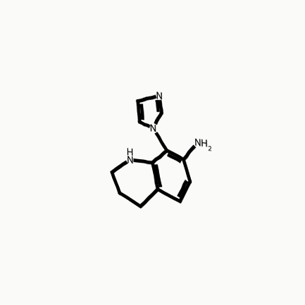 Nc1ccc2c(c1-n1ccnc1)NCCC2